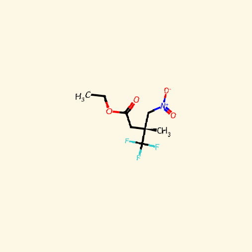 CCOC(=O)C[C@](C)(C[N+](=O)[O-])C(F)(F)F